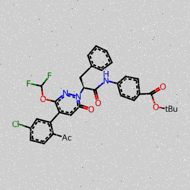 CC(=O)c1ccc(Cl)cc1-c1cc(=O)n([C@@H](Cc2ccccc2)C(=O)Nc2ccc(C(=O)OC(C)(C)C)cc2)nc1OC(F)F